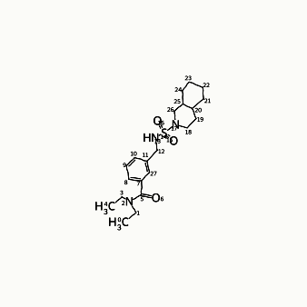 CCN(CC)C(=O)c1cccc(CNS(=O)(=O)N2CCC3CCCCC3C2)c1